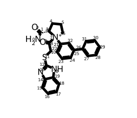 NC(=O)[C@@H]1CCC[N+]1(C(=O)CSc1nc2ccccc2[nH]1)c1cccc(-c2ccccc2)c1